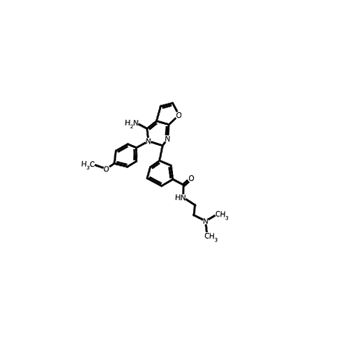 COc1ccc(N2C(N)=c3ccoc3=NC2c2cccc(C(=O)NCCN(C)C)c2)cc1